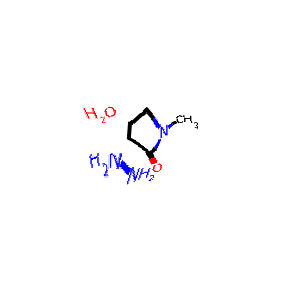 CN1CCCC1=O.NN.O